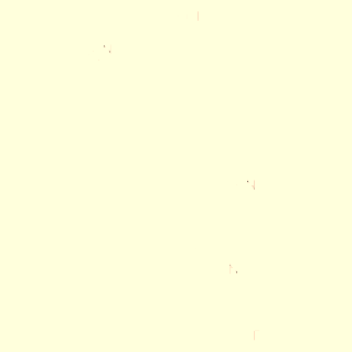 N#C/C(=C\c1cc(O)c(O)c([N+](=O)[O-])c1)c1cccc(F)n1